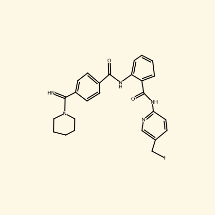 N=C(c1ccc(C(=O)Nc2ccccc2C(=O)Nc2ccc(CI)cn2)cc1)N1CCCCC1